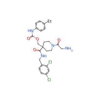 CCc1ccc(NC(=O)OCC2(C(=O)NCc3ccc(Cl)cc3Cl)CCN(C(=O)CN)CC2)cc1